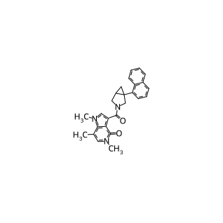 Cc1cn(C)c(=O)c2c(C(=O)N3CC4CC4(c4cccc5ccccc45)C3)cn(C)c12